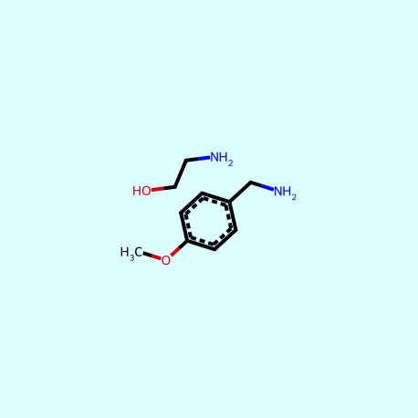 COc1ccc(CN)cc1.NCCO